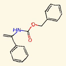 C=C(NC(=O)OCc1ccccc1)c1ccccc1